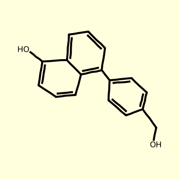 OCc1ccc(-c2cccc3c(O)cccc23)cc1